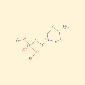 CCOP(=O)(CCN1CCC(N)CC1)OCC